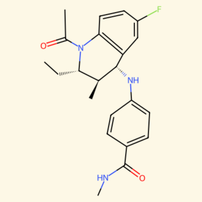 CC[C@H]1[C@H](C)[C@@H](Nc2ccc(C(=O)NC)cc2)c2cc(F)ccc2N1C(C)=O